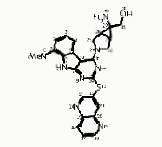 CNc1cccc2c1[nH]c1nc(Sc3cnc4cccnc4c3)nc(N3CC4C(C3)C4(N)CO)c12